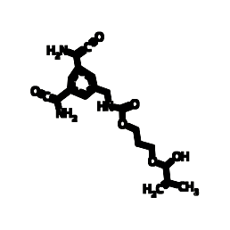 C=C(C)C(O)OCCCOC(=O)NCc1cc(C(N)=C=O)cc(C(N)=C=O)c1